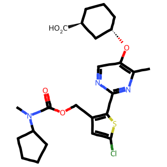 Cc1nc(-c2sc(Cl)cc2COC(=O)N(C)C2CCCC2)ncc1O[C@H]1CCC[C@H](C(=O)O)C1